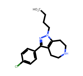 O=C(O)CCCn1nc(-c2ccc(Cl)cc2)c2c1CCNCC2